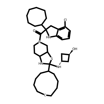 O=C(N1CCC2NC(N[C@H]3C[C@H](O)C3)(C3CCCCCCCCC3)SC2C1)C1(C2CCCCCCC2)Cc2c(Cl)cccc2N1